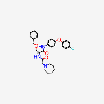 O=C(CN1CCCCCC1)N[C@@H](COCc1ccccc1)C(=O)Nc1ccc(Oc2ccc(F)cc2)cc1